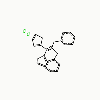 C1=CC[C]([Zr+2]([C]2=CC=CC2)=[Si](Cc2ccccc2)Cc2ccccc2)=C1.[Cl-].[Cl-]